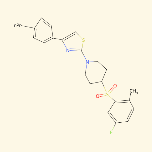 CCCc1ccc(-c2csc(N3CCC(S(=O)(=O)c4cc(F)ccc4C)CC3)n2)cc1